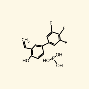 C=Cc1cc(-c2cc(F)c(F)c(F)c2)ccc1O.OP(O)O